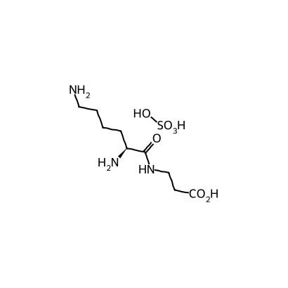 NCCCC[C@H](N)C(=O)NCCC(=O)O.O=S(=O)(O)O